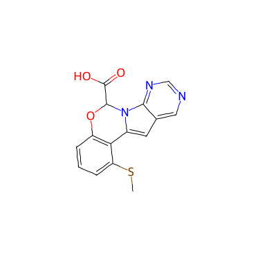 CSc1cccc2c1-c1cc3cncnc3n1C(C(=O)O)O2